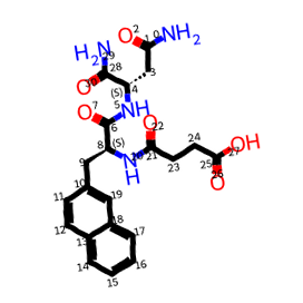 NC(=O)C[C@H](NC(=O)[C@H](Cc1ccc2ccccc2c1)NC(=O)CCC(=O)O)C(N)=O